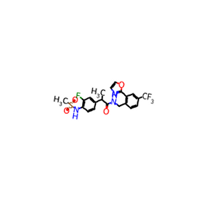 CC(C(=O)NCc1ccc(C(F)(F)F)cc1-c1ncco1)c1ccc(NS(C)(=O)=O)c(F)c1